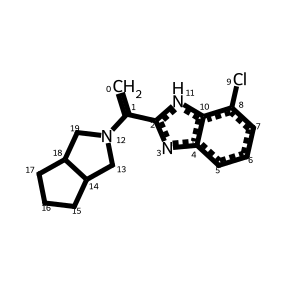 C=C(c1nc2cccc(Cl)c2[nH]1)N1CC2CCCC2C1